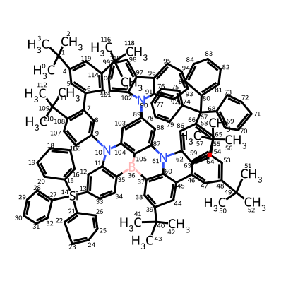 CC(C)(C)c1cc(-c2cc(N3c4cc([Si](c5ccccc5)(c5ccccc5)c5ccccc5)ccc4B4c5cc(C(C)(C)C)cc(-c6cc(C(C)(C)C)cc(C(C)(C)C)c6)c5N(c5cccc(C(c6ccccc6)(c6ccccc6)c6ccccc6)c5)c5cc(-n6c7ccccc7c7ccccc76)cc3c54)ccc2C(C)(C)C)cc(C(C)(C)C)c1